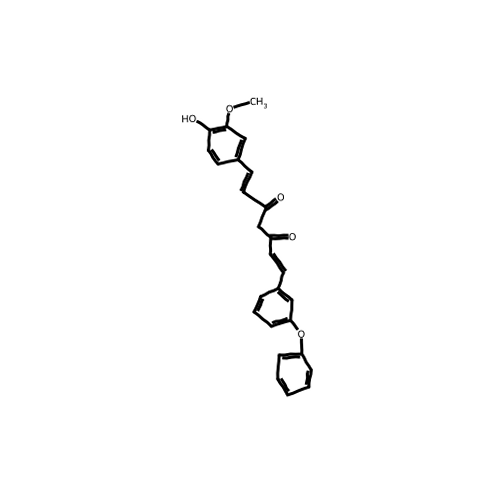 COc1cc(C=CC(=O)CC(=O)C=Cc2cccc(Oc3ccccc3)c2)ccc1O